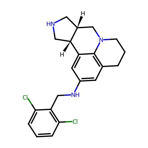 Clc1cccc(Cl)c1CNc1cc2c3c(c1)[C@@H]1CNC[C@@H]1CN3CCC2